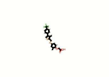 Cc1cc(SCc2scc(-c3ccc(C(F)(F)F)cc3)c2C)ccc1OCC(=O)O